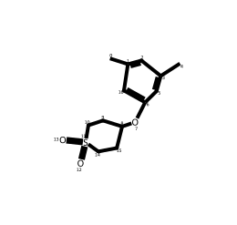 Cc1[c]c(C)cc(OC2CCS(=O)(=O)CC2)c1